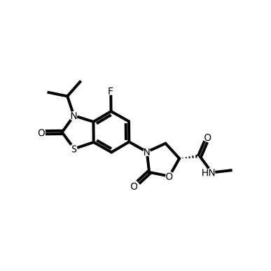 CNC(=O)[C@H]1CN(c2cc(F)c3c(c2)sc(=O)n3C(C)C)C(=O)O1